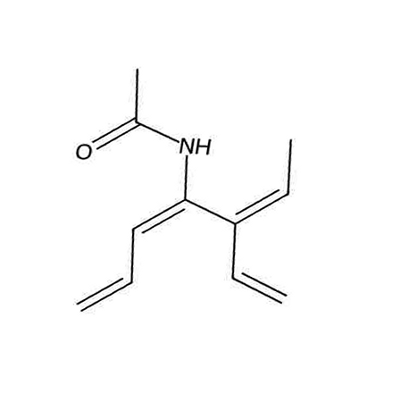 C=C/C=C(NC(C)=O)\C(C=C)=C/C